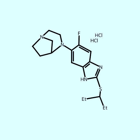 CCC(CC)Sc1nc2cc(F)c(N3CCN4CCC3C4)cc2[nH]1.Cl.Cl